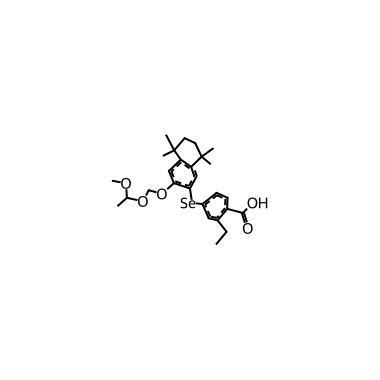 CCc1cc([Se]c2cc3c(cc2OCOC(C)OC)C(C)(C)CCC3(C)C)ccc1C(=O)O